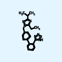 CCc1nc(C(C)C)nn1Cc1ccc(-c2ccccc2-c2nnn[nH]2)cc1